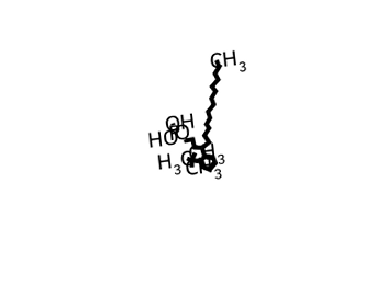 CCCCCCCCCCCCCCC(CCCOP(O)O)c1ccccc1C(C)(C)C